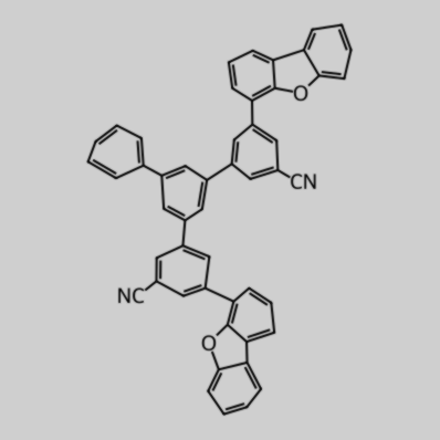 N#Cc1cc(-c2cc(-c3ccccc3)cc(-c3cc(C#N)cc(-c4cccc5c4oc4ccccc45)c3)c2)cc(-c2cccc3c2oc2ccccc23)c1